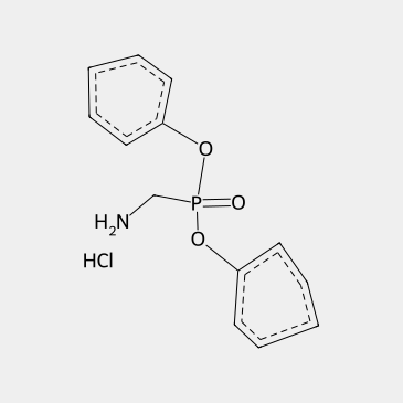 Cl.NCP(=O)(Oc1ccccc1)Oc1ccccc1